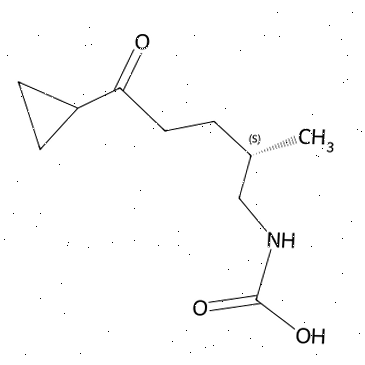 C[C@@H](CCC(=O)C1CC1)CNC(=O)O